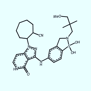 COCC(C)(C)CN1Cc2cc(Nc3nn(C4CCCCCC4C#N)c4cc[nH]c(=O)c34)ccc2S1(O)O